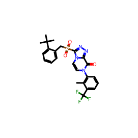 Cc1c(-n2ccn3c(S(=O)(=O)Cc4ccccc4C(C)(C)C)nnc3c2=O)cccc1C(F)(F)F